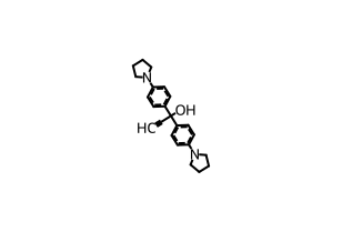 C#CC(O)(c1ccc(N2CCCC2)cc1)c1ccc(N2CCCC2)cc1